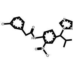 CC(C)C(c1ccc(NC(=O)Cc2cccc(Cl)c2)c([N+](=O)[O-])c1)n1cncn1